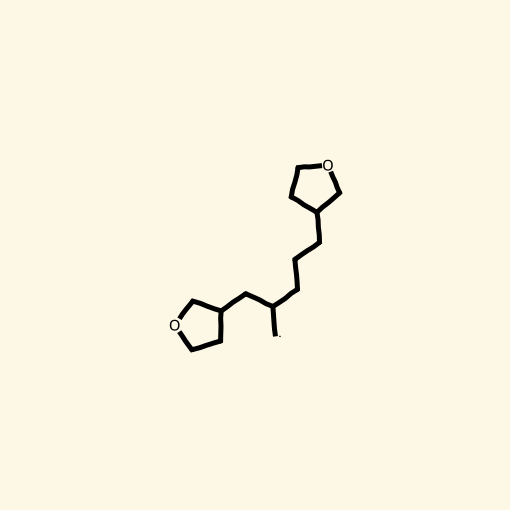 [CH2]C(CCCC1CCOC1)CC1CCOC1